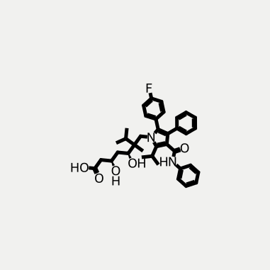 CC(C)c1c(C(=O)Nc2ccccc2)c(-c2ccccc2)c(-c2ccc(F)cc2)n1CC(C)(C(C)C)[C@@H](O)C[C@@H](O)CC(=O)O